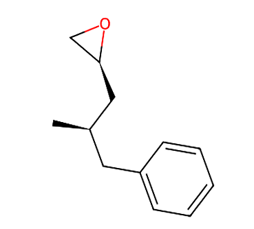 C[C@H](Cc1ccccc1)C[C@H]1CO1